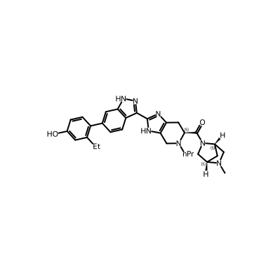 CCCN1Cc2[nH]c(-c3n[nH]c4cc(-c5ccc(O)cc5CC)ccc34)nc2C[C@H]1C(=O)N1C[C@@H]2C[C@H]1CN2C